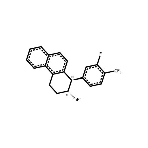 CCC[C@@H]1CCc2c(ccc3ccccc23)[C@H]1c1ccc(C(F)(F)F)c(F)c1